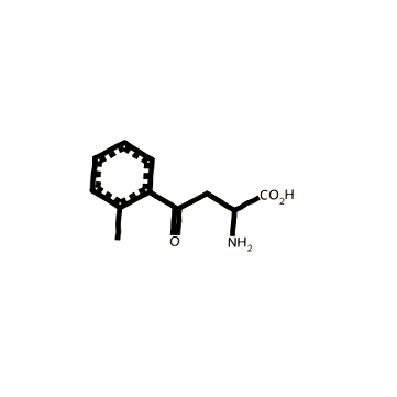 Cc1ccccc1C(=O)CC(N)C(=O)O